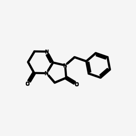 O=C1CCN=C2N1CC(=O)N2Cc1ccccc1